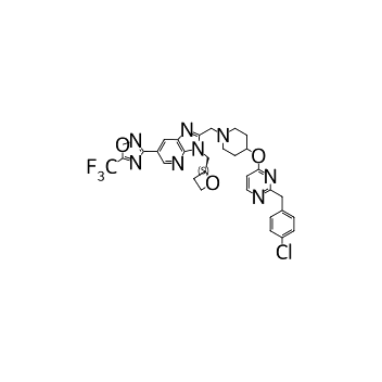 FC(F)(F)c1nc(-c2cnc3c(c2)nc(CN2CCC(Oc4ccnc(Cc5ccc(Cl)cc5)n4)CC2)n3C[C@@H]2CCO2)no1